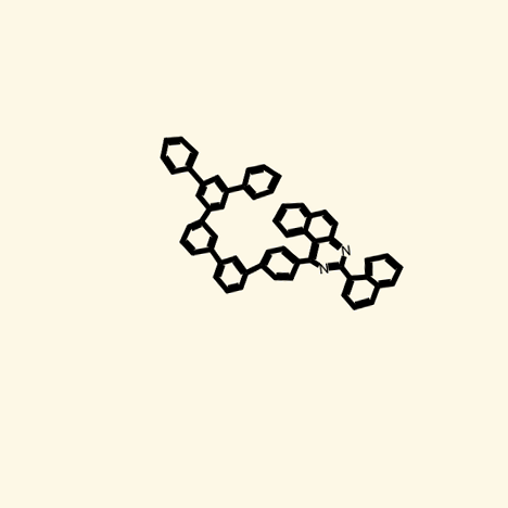 c1ccc(-c2cc(-c3ccccc3)cc(-c3cccc(-c4cccc(-c5ccc(-c6nc(-c7cccc8ccccc78)nc7ccc8ccccc8c67)cc5)c4)c3)c2)cc1